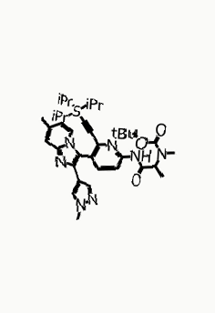 Cc1ccn2c(-c3ccc(NC(=O)C(C)N(C)C(=O)OC(C)(C)C)nc3C#CS(C(C)C)(C(C)C)C(C)C)c(-c3cnn(C)c3)nc2c1